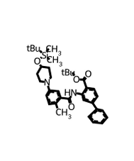 Cc1ccc(N2CCC(O[Si](C)(C)C(C)(C)C)CC2)cc1C(=O)Nc1cc(-c2ccccc2)ccc1C(=O)OC(C)(C)C